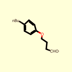 CCCCc1ccc(OCCC[C]=O)cc1